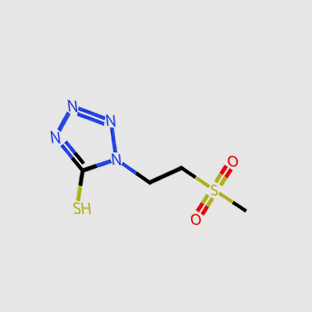 CS(=O)(=O)CCn1nnnc1S